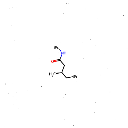 CC(C)C[C@@H](C)CC(=O)NC(C)C